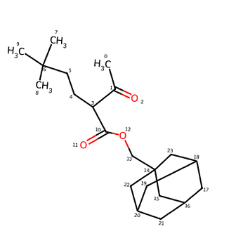 CC(=O)C(CCC(C)(C)C)C(=O)OCC12CC3CC(CC(C3)C1)C2